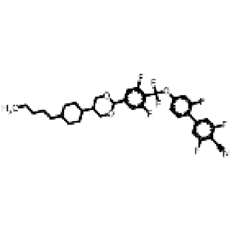 CCCCCC1CCC(C2COC(c3cc(F)c(C(F)(F)Oc4ccc(-c5cc(F)c(C#N)c(F)c5)c(F)c4)c(F)c3)OC2)CC1